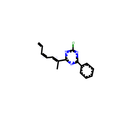 C=C/C=C\C=C(/C)c1nc(Cl)nc(-c2ccccc2)n1